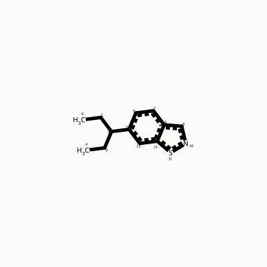 CCC(CC)c1ccc2cnsc2c1